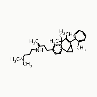 C=C(CCc1ccc2c(c1)C(C)(C)C(C)=C(C1C=CC=CC=C1C)C1CC21)NCCCN(C)C